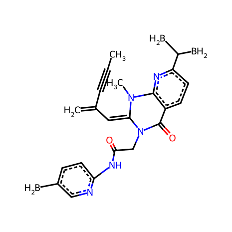 Bc1ccc(NC(=O)CN2C(=O)c3ccc(C(B)B)nc3N(C)/C2=C\C(=C)C#CC)nc1